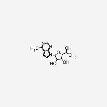 Cc1ncnc2c1ccn2[C@@H]1O[C@H]([C@H](C)O)[C@@H](O)[C@H]1O